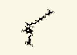 CCc1cc(OCC=C(Cl)Cl)cc(CC)c1OC(C)CCCOCCC=NOCC=C(Cl)Cl